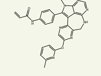 C=CC(=O)Nc1ccc(-c2c3c4c(ncnc4n2C)NCc2nc(Oc4cccc(C)n4)cnc2-3)cc1